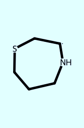 [CH]1CSCCCN1